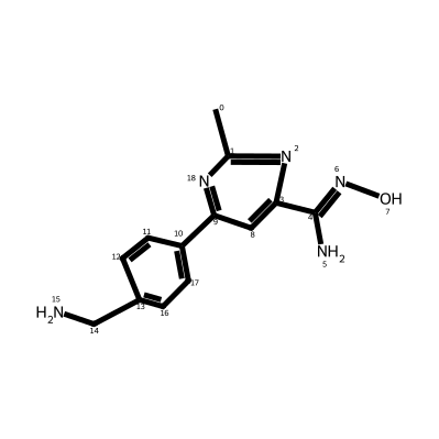 Cc1nc(C(N)=NO)cc(-c2ccc(CN)cc2)n1